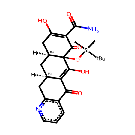 CC(C)(C)[Si](C)(C)OC12C(=O)C(C(N)=O)=C(O)C[C@@H]1C[C@@H]1Cc3ncccc3C(=O)C1=C2O